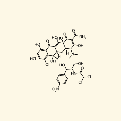 CN(C)[C@@H]1C(O)=C(C(N)=O)C(=O)[C@@]2(O)C(O)=C3C(=O)c4c(O)ccc(Cl)c4[C@@](C)(O)[C@H]3C[C@@H]12.Cl.O=C(N[C@H](CO)[C@H](O)c1ccc([N+](=O)[O-])cc1)C(Cl)Cl